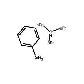 CCC[SiH](CCC)CCC.[SiH3]c1ccccc1